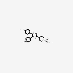 O=S(=O)(O)N1CCC(c2cnc(-c3ccc(Cl)cc3)c(-c3ccc(Cl)cc3)n2)CC1